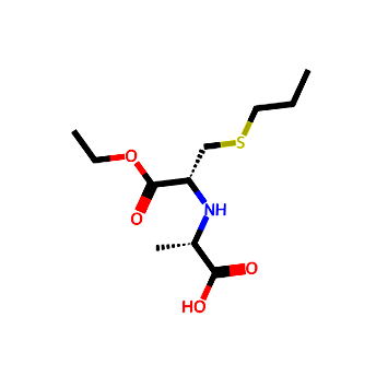 CCCSC[C@H](N[C@@H](C)C(=O)O)C(=O)OCC